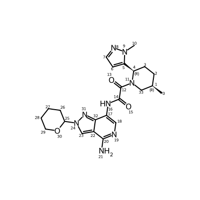 C[C@@H]1CC[C@H](c2ccnn2C)N(C(=O)C(=O)Nc2cnc(N)c3cn(C4CCCCO4)nc23)C1